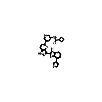 O=C(Nc1cncc(-c2ccc3[nH]nc(-c4nc5c(-c6ccsc6)cccc5[nH]4)c3n2)c1)C1CCC1